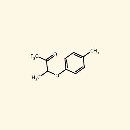 Cc1ccc(OC(C)C(=O)C(F)(F)F)cc1